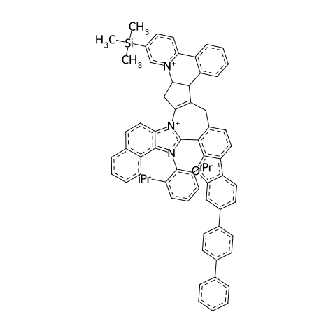 CC(C)c1cccc(C(C)C)c1-n1c2[n+](c3ccc4ccccc4c31)C1=C(Cc3ccc4c(oc5cc(-c6ccc(-c7ccccc7)cc6)ccc54)c3-2)C2c3ccccc3-c3ccc([Si](C)(C)C)c[n+]3C2C1